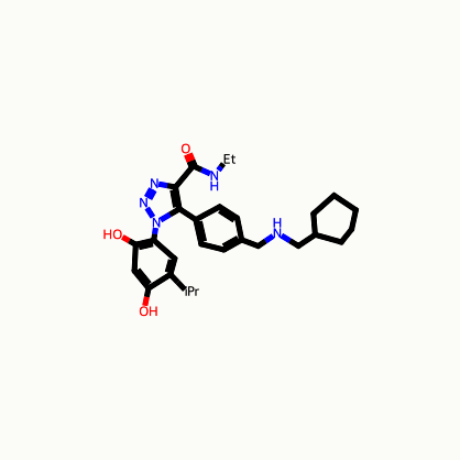 CCNC(=O)c1nnn(-c2cc(C(C)C)c(O)cc2O)c1-c1ccc(CNCC2CCCCC2)cc1